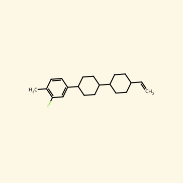 C=CC1CCC(C2CCC(c3ccc(C)c(F)c3)CC2)CC1